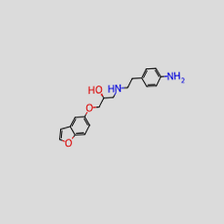 Nc1ccc(CCNC[C@H](O)COc2ccc3occc3c2)cc1